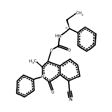 CC[C@H](NC(=O)Oc1c(C)n(-c2ccccc2)c(=O)c2c(C#N)cccc12)c1ccccc1